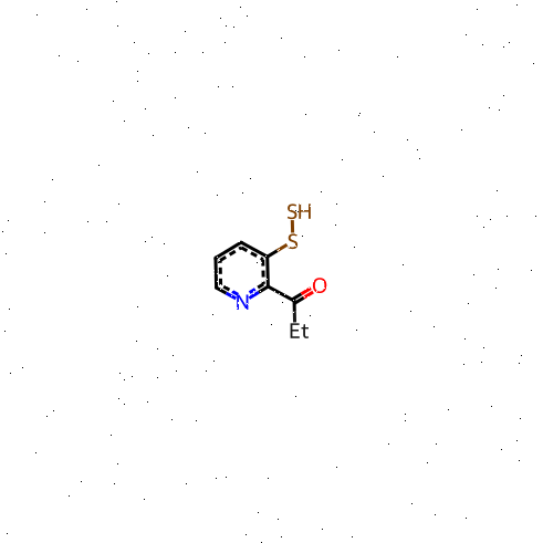 CCC(=O)c1ncccc1SS